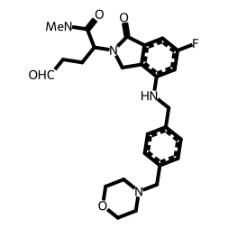 CNC(=O)C(CCC=O)N1Cc2c(NCc3ccc(CN4CCOCC4)cc3)cc(F)cc2C1=O